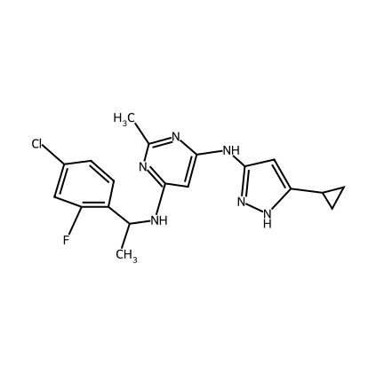 Cc1nc(Nc2cc(C3CC3)[nH]n2)cc(NC(C)c2ccc(Cl)cc2F)n1